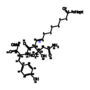 CCCCCCCC(=O)CCCCCC/C=C/[C@H](C(=O)N[C@@H](Cc1ccc(O)cc1)C(=O)OC)[C@@](O)(CC(N)=O)C(=O)O